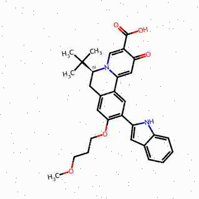 COCCCOc1cc2c(cc1-c1cc3ccccc3[nH]1)-c1cc(=O)c(C(=O)O)cn1[C@H](C(C)(C)C)C2